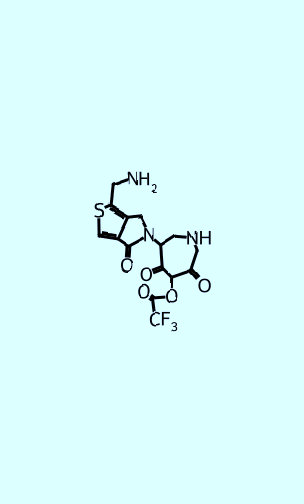 NCc1scc2c1CN(C1CNCC(=O)C(OC(=O)C(F)(F)F)C1=O)C2=O